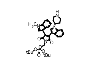 Cn1cc(C2=C(c3cn(C4CCNCC4)c4ccccc34)C(=O)N(COP(=O)(OC(C)(C)C)OC(C)(C)C)C2=O)c2ccccc21